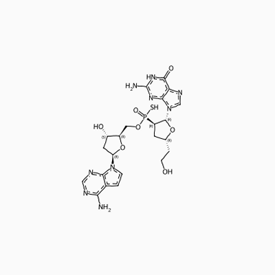 Nc1nc2c(ncn2[C@@H]2O[C@H](CCO)C[C@H]2P(=O)(S)OC[C@H]2O[C@@H](n3ccc4c(N)ncnc43)C[C@@H]2O)c(=O)[nH]1